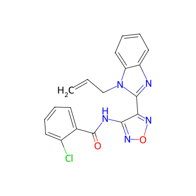 C=CCn1c(-c2nonc2NC(=O)c2ccccc2Cl)nc2ccccc21